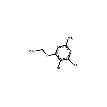 COCOc1nc(N)nc(N)c1N